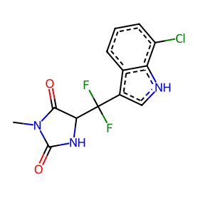 CN1C(=O)NC(C(F)(F)c2c[nH]c3c(Cl)cccc23)C1=O